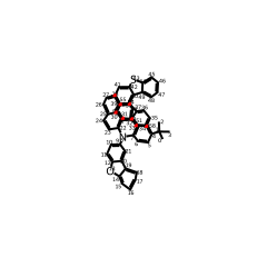 CC(C)(C)c1ccc(N(c2ccc3oc4ccccc4c3c2)c2ccc3ccccc3c2-c2ccccc2-c2cccc3sc4ccccc4c23)c(-c2ccccc2)c1